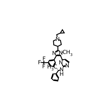 C[C@H](Nc1nccc(-c2c(-c3cccc(C(F)(F)F)c3)nc(C3CCN(CC4CC4)CC3)n2C)n1)c1ccccc1